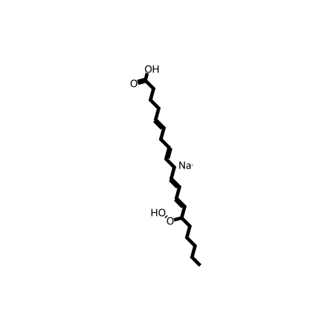 CCCCCC(C=CC=CCC=CCC=CCCCC(=O)O)OO.[Na]